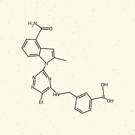 CCc1nnc(-n2c(C)cc3c(C(N)=O)cccc32)nc1NCc1cccc(B(O)O)c1